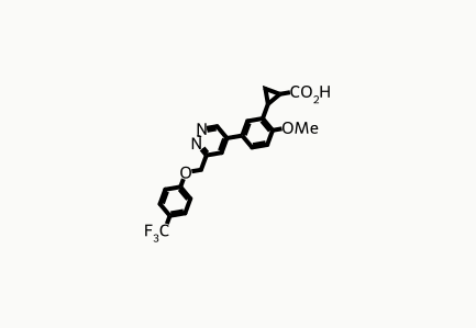 COc1ccc(-c2cnnc(COc3ccc(C(F)(F)F)cc3)c2)cc1C1CC1C(=O)O